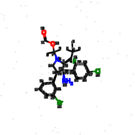 CC(C)(C)C[C@@H]1N(C(C)(C)OC=O)C[C@H](c2cccc(Br)c2)[C@@]1(N)c1ccc(Cl)cc1F